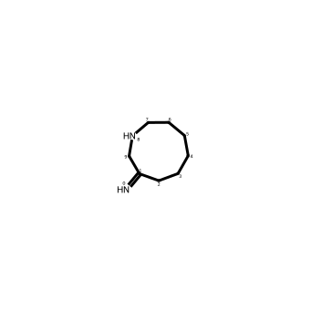 N=C1CCCCCCNC1